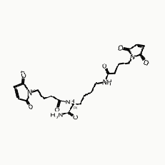 NC(=O)[C@H](CCCCNC(=O)CCCN1C(=O)C=CC1=O)NC(=O)CCCN1C(=O)C=CC1=O